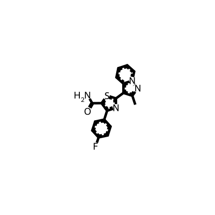 Cc1nn2ccccc2c1-c1nc(-c2ccc(F)cc2)c(C(N)=O)s1